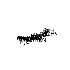 CC(O)C(=O)N1CC[C@H](Oc2ccc(-c3ncnc(Nc4ccc(N5CCN(C6COC6)CC5)c(C(F)(F)F)c4)n3)cc2C#N)[C@H](F)C1